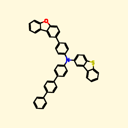 c1ccc(-c2ccc(-c3ccc(N(c4ccc(-c5ccc6oc7ccccc7c6c5)cc4)c4ccc5sc6ccccc6c5c4)cc3)cc2)cc1